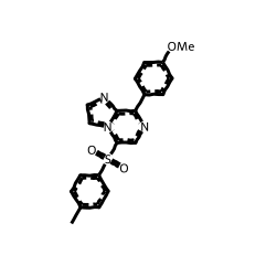 COc1ccc(-c2ncc(S(=O)(=O)c3ccc(C)cc3)n3ccnc23)cc1